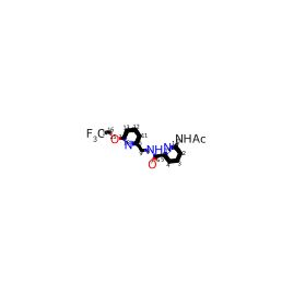 CC(=O)Nc1cccc(C(=O)NCc2cccc(OCC(F)(F)F)n2)n1